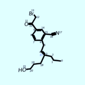 CCC/C(=C\Cc1ccc(C(=O)CBr)cc1C#N)CCCO